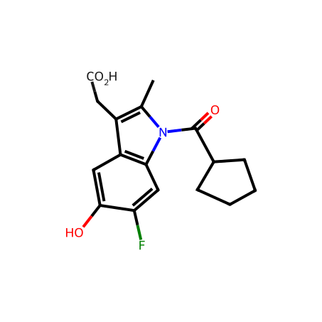 Cc1c(CC(=O)O)c2cc(O)c(F)cc2n1C(=O)C1CCCC1